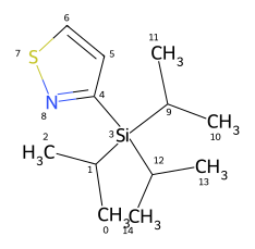 CC(C)[Si](c1ccsn1)(C(C)C)C(C)C